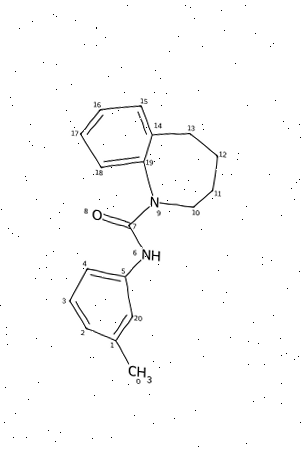 Cc1cccc(NC(=O)N2CCCCc3ccccc32)c1